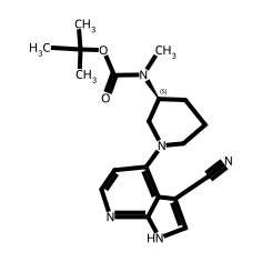 CN(C(=O)OC(C)(C)C)[C@H]1CCCN(c2ccnc3[nH]cc(C#N)c23)C1